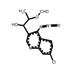 CC(OC=O)C(O)c1cnc2cc(Cl)ccc2c1N=[N+]=[N-]